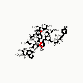 CSCC[C@H](NC(=O)[C@H](Cc1ccccc1)NC(=O)CNC(=O)[C@@H](C)NC(=O)[C@@H](N)Cc1ccc(O)cc1)C(=O)N[C@H](C(=O)N[C@@H](CO)C(=O)N[C@@H](CCC(N)=O)C(=O)N[C@@H](CCCCN)C(=O)N[C@@H](CO)C(=O)N[C@@H](CCC(N)=O)C(=O)N[C@H](C(=O)N1CCC[C@H]1C(=O)N[C@@H](CC(C)C)C(=O)O)[C@@H](C)O)[C@@H](C)O